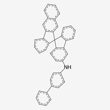 c1ccc(-c2ccc(Nc3ccc4c(c3)-c3ccccc3C43c4ccccc4-c4cc5ccccc5cc43)cc2)cc1